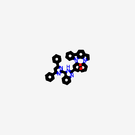 c1ccc(-c2cc(-c3ccccc3)nc(C3NC(c4cccc(-n5c6ccccc6c6ccc7ccn(-c8ccccc8)c7c65)c4)=Nc4ccccc43)n2)cc1